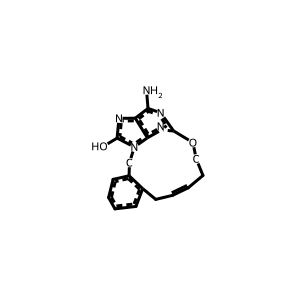 Nc1nc2nc3c1nc(O)n3Cc1ccccc1C/C=C\CCO2